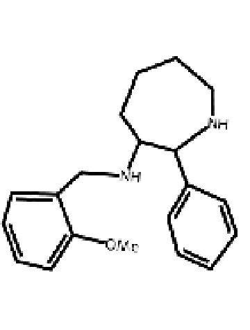 COc1ccccc1CNC1CCCCNC1c1ccccc1